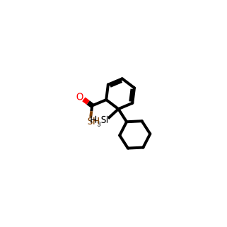 O=C(S)C1C=CC=CC1([SiH3])C1CCCCC1